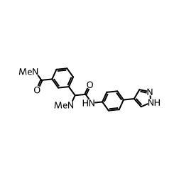 CNC(=O)c1cccc(C(NC)C(=O)Nc2ccc(-c3cn[nH]c3)cc2)c1